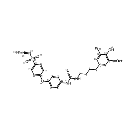 CCCCCCCCc1cc(CCCCNC(=O)Nc2ccc(Oc3ccc(S(=O)(=O)N=[N+]=[N-])cc3)cc2)cc(CC)c1O